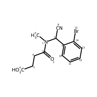 CN(C(=O)CCC(=O)O)C(C#N)c1ccccc1Br